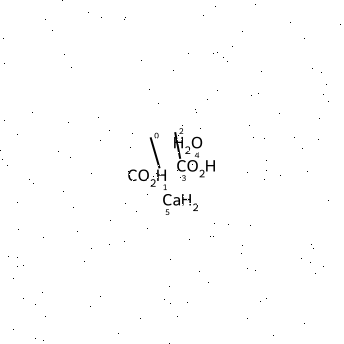 CC(=O)O.CC(=O)O.O.[CaH2]